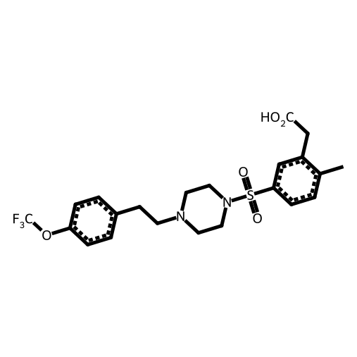 Cc1ccc(S(=O)(=O)N2CCN(CCc3ccc(OC(F)(F)F)cc3)CC2)cc1CC(=O)O